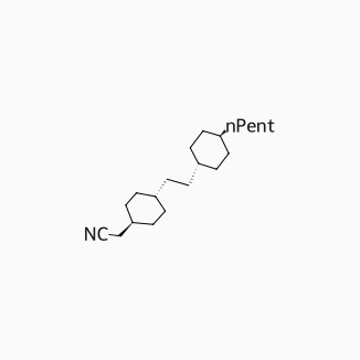 CCCCC[C@H]1CC[C@H](CC[C@H]2CC[C@H](CC#N)CC2)CC1